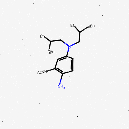 CCCCC(CC)CN(CC(CC)CCCC)c1ccc(N)c(NC(C)=O)c1